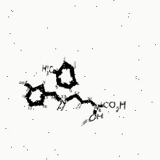 Cc1ccccc1.O=C(O)N(O)CCCNCc1cccc(I)c1